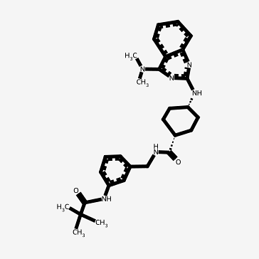 CN(C)c1nc(N[C@H]2CC[C@@H](C(=O)NCc3cccc(NC(=O)C(C)(C)C)c3)CC2)nc2ccccc12